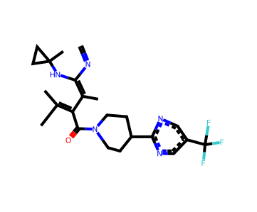 C=N/C(NC1(C)CC1)=C(\C)C(C(=O)N1CCC(c2ncc(C(F)(F)F)cn2)CC1)=C(C)C